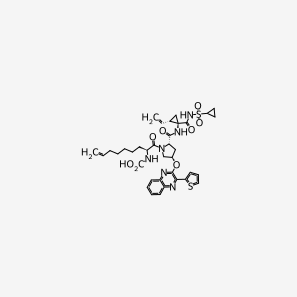 C=CCCCCC[C@H](NC(=O)O)C(=O)N1C[C@H](Oc2nc3ccccc3nc2-c2cccs2)C[C@H]1C(=O)N[C@]1(C(=O)NS(=O)(=O)C2CC2)C[C@H]1C=C